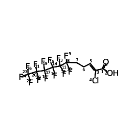 O=C(O)C(Cl)=CCCC(F)(F)C(F)(F)C(F)(F)C(F)(F)C(F)(F)C(F)(F)F